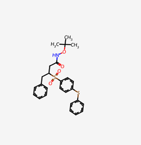 CC(C)(C)ONC(=O)CC(Cc1ccccc1)S(=O)(=O)c1ccc(Sc2ccccc2)cc1